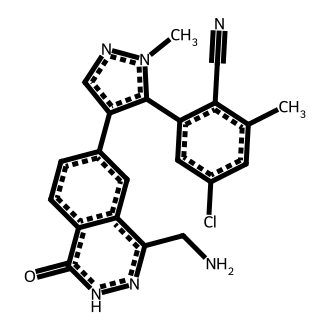 Cc1cc(Cl)cc(-c2c(-c3ccc4c(=O)[nH]nc(CN)c4c3)cnn2C)c1C#N